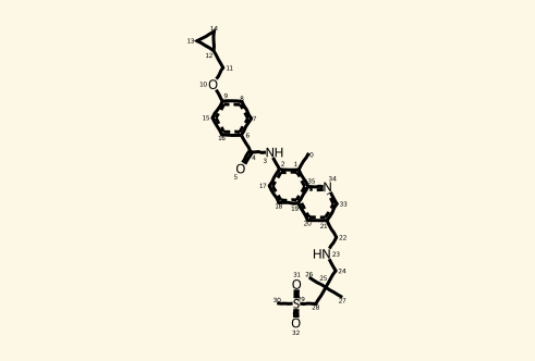 Cc1c(NC(=O)c2ccc(OCC3CC3)cc2)ccc2cc(CNCC(C)(C)CS(C)(=O)=O)cnc12